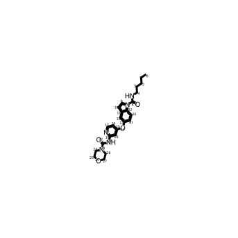 CCCCCNC(=O)n1ccc2cc(Oc3ccnc(NC(=O)N4CCOCC4)c3)ccc21